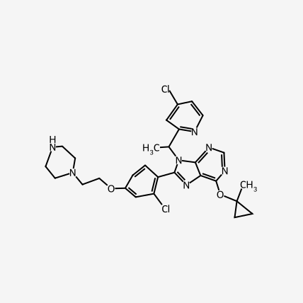 CC(c1cc(Cl)ccn1)n1c(-c2ccc(OCCN3CCNCC3)cc2Cl)nc2c(OC3(C)CC3)ncnc21